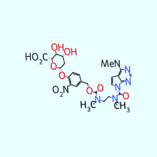 CNc1ncnc2c1ccn2C(=O)N(C)CCN(C)C(=O)OCc1ccc(O[C@H]2C[C@@H](O)[C@H](O)[C@@H](C(=O)O)O2)c([N+](=O)[O-])c1